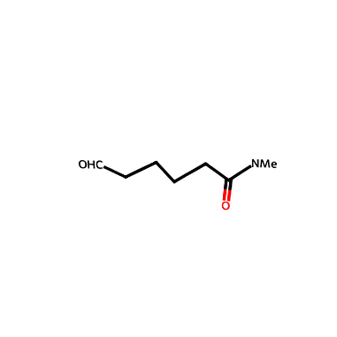 CNC(=O)CCCCC=O